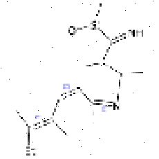 CC/C(C)=C(C)/C=C\C(C)=N/C(C)C(C)C(=N)[S+](C)[O-]